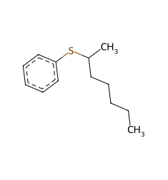 CCCCCC(C)Sc1ccccc1